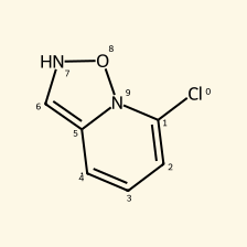 ClC1=CC=[C]C2=CNON12